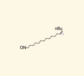 CCCC/C=C\CCCCCCCCCCCCN=O